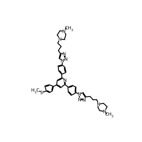 CSc1ccc(-c2cc(-c3ccc(-n4cc(CCCN5CCN(C)CC5)nn4)cc3)nc(-c3ccc(-n4cc(CCCN5CCN(C)CC5)nn4)cc3)c2)cc1